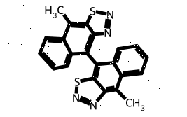 Cc1c2ccccc2c(-c2c3ccccc3c(C)c3snnc23)c2snnc12